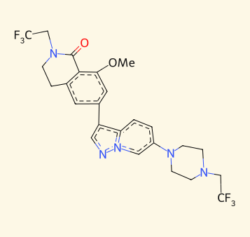 COc1cc(-c2cnn3cc(N4CCN(CC(F)(F)F)CC4)ccc23)cc2c1C(=O)N(CC(F)(F)F)CC2